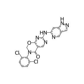 O=C1c2cnc(Nc3cc4[nH]ncc4cn3)nc2OCN1c1c(Cl)cccc1Cl